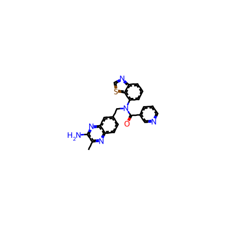 Cc1nc2ccc(CN(C(=O)c3cccnc3)c3cccc4ncsc34)cc2nc1N